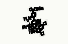 COC(=O)c1ccc(C2C[C@H]3[C@@H](N2)[C@H](c2cccc(Cl)c2F)[C@]2(C(=O)Nc4cc(Cl)ccc42)N3CCC(C)C)c(N)c1